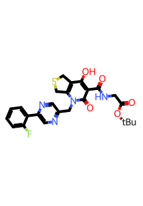 CC(C)(C)OC(=O)CNC(=O)c1c(O)c2c(n(Cc3cnc(-c4ccccc4F)cn3)c1=O)CSC2